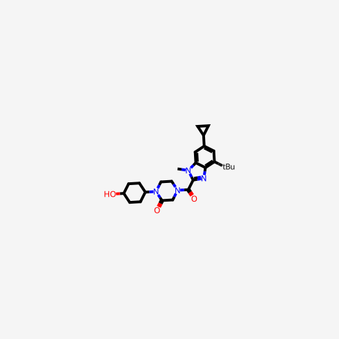 Cn1c(C(=O)N2CCN(C3CCC(O)CC3)C(=O)C2)nc2c(C(C)(C)C)cc(C3CC3)cc21